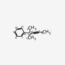 [CH2]C#C[Si](C)(C)c1ccccc1